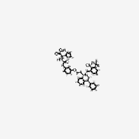 O=C(Cc1cccc(OCCCN(Cc2cccc(C(F)(F)F)c2Cl)CC(c2ccccc2)c2ccccc2)c1)NC(C(=O)O)c1cccs1